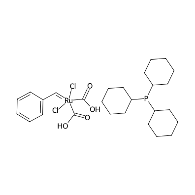 C1CCC(P(C2CCCCC2)C2CCCCC2)CC1.O=[C](O)[Ru]([Cl])([Cl])(=[CH]c1ccccc1)[C](=O)O